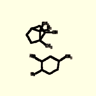 CC1(C)C2CCC1(C)C(O)C2.CC1CCC(C(C)C)C(O)C1